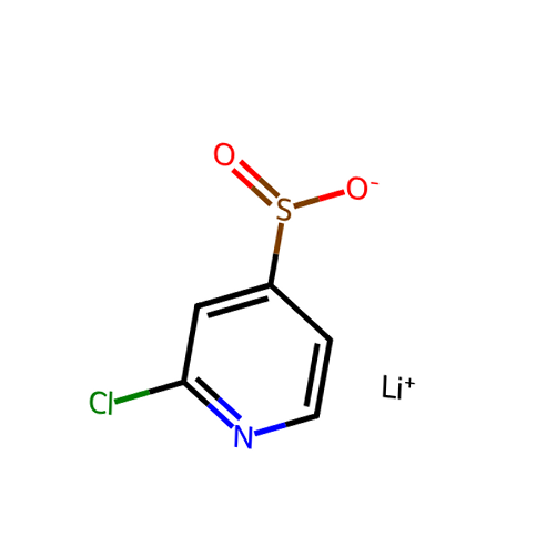 O=S([O-])c1ccnc(Cl)c1.[Li+]